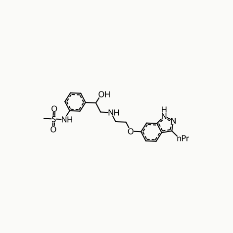 CCCc1n[nH]c2cc(OCCNCC(O)c3cccc(NS(C)(=O)=O)c3)ccc12